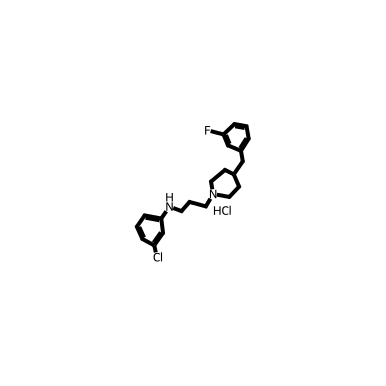 Cl.Fc1cccc(CC2CCN(CCCNc3cccc(Cl)c3)CC2)c1